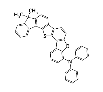 CC1(C)c2ccccc2-c2c1ccc1c2sc2c1ccc1oc3c(N(c4ccccc4)c4ccccc4)cccc3c12